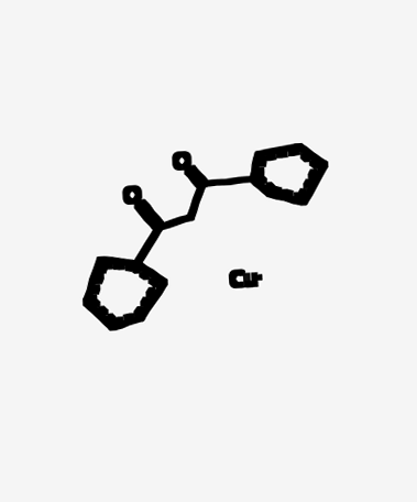 O=C(CC(=O)c1ccccc1)c1ccccc1.[Cu]